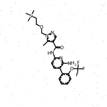 Cc1c(C(=O)Nc2ccc(-c3ccccc3OC(F)(F)F)c(N)n2)cnn1COCC[Si](C)(C)C